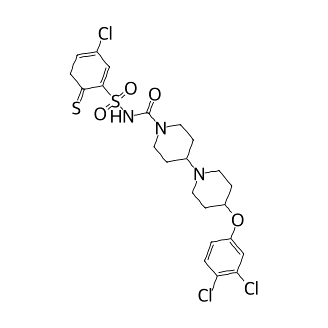 O=C(NS(=O)(=O)C1=CC(Cl)=CCC1=S)N1CCC(N2CCC(Oc3ccc(Cl)c(Cl)c3)CC2)CC1